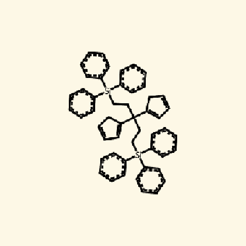 C1=CCC(C(CC[Si](c2ccccc2)(c2ccccc2)c2ccccc2)(CC[Si](c2ccccc2)(c2ccccc2)c2ccccc2)C2=CC=CC2)=C1